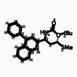 CSCCC(NC(=O)OC(C)(C)C)c1cc(-c2ccccc2)c2ccccc2n1